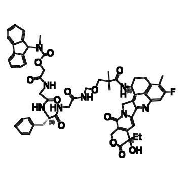 CC[C@@]1(O)C(=O)OCc2c1cc1n(c2=O)Cc2c-1nc1cc(F)c(C)c3c1c2[C@@H](NC(=O)C(C)(C)COCNC(=O)CNC(=O)[C@H](Cc1ccccc1)NC(=O)CNC(=O)COC(=O)N(C)C1c2ccccc2-c2ccccc21)CC3